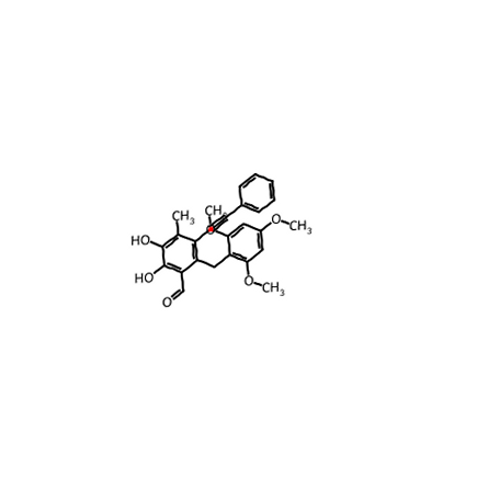 COc1cc(OC)c(Cc2c(C#Cc3ccccc3)c(C)c(O)c(O)c2C=O)c(OC)c1